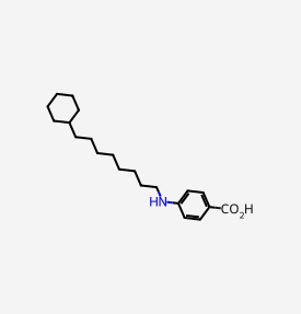 O=C(O)c1ccc(NCCCCCCCCC2CCCCC2)cc1